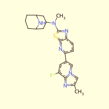 Cc1cn2cc(-c3ccc4nc(N(C)C5CC6CCCC(C5)N6)sc4n3)cc(F)c2n1